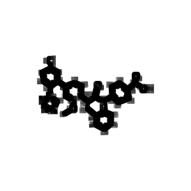 CO[n+]1cc(-c2cc(Cl)ccc2-n2cnnn2)ccc1[C@H](Cc1ccccc1)C(=O)Nc1ccc(C(=O)O)cc1